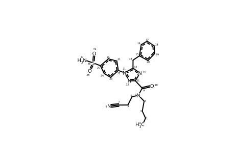 CCCCN(CCC#N)C(=O)c1nc(Cc2ccccc2)n(-c2ccc(S(N)(=O)=O)cc2)n1